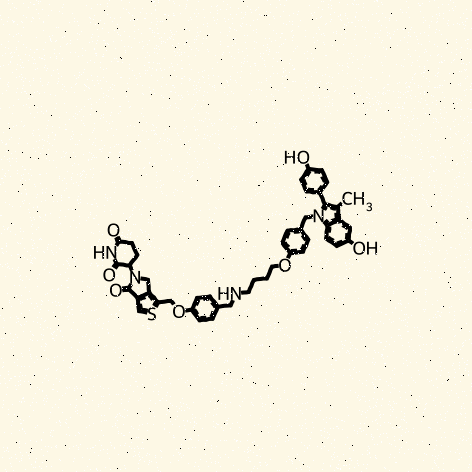 Cc1c(-c2ccc(O)cc2)n(Cc2ccc(OCCCCNCc3ccc(OCc4scc5c4CN(C4CCC(=O)NC4=O)C5=O)cc3)cc2)c2ccc(O)cc12